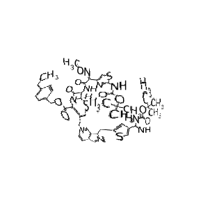 CCc1ccc(COC(=O)C2=C(C[n+]3ccc4c(c3)C(Cc3cc(C(=N)NC(=O)OC(C)(C)C)cs3)N=C4)CS[C@@H]3[C@H](NC(=O)/C(=N\OC)c4csc(NC(=O)OC(C)(C)C)n4)C(=O)N23)cc1